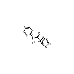 CC1(C(=O)Oc2ccccc2)CC2=CCC1C2